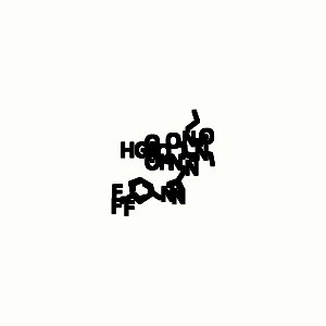 CCCn1c(=O)c2c(nc(-c3cnn(Cc4cccc(C(F)(F)F)c4)c3)n2COP(=O)(O)O)n(CC)c1=O